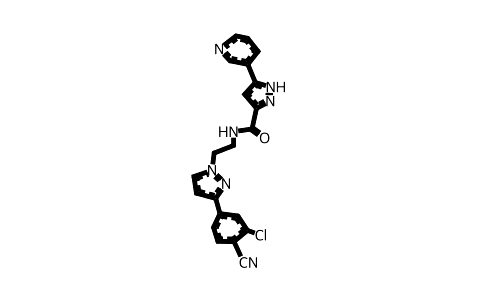 N#Cc1ccc(-c2ccn(CCNC(=O)c3cc(-c4cccnc4)[nH]n3)n2)cc1Cl